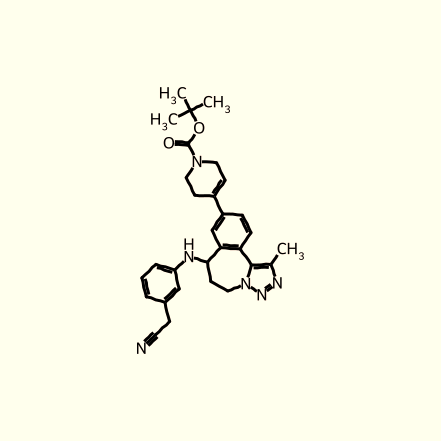 Cc1nnn2c1-c1ccc(C3=CCN(C(=O)OC(C)(C)C)CC3)cc1C(Nc1cccc(CC#N)c1)CC2